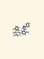 Nc1ncc(C2=CC(C(=O)c3c(F)cccc3F)NCC2)nc1-c1nnc(-c2ccccc2)o1